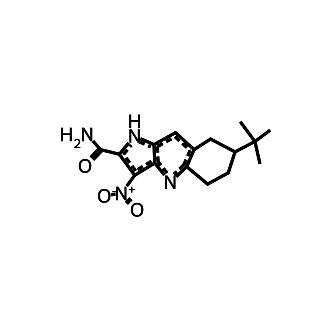 CC(C)(C)C1CCc2nc3c([N+](=O)[O-])c(C(N)=O)[nH]c3cc2C1